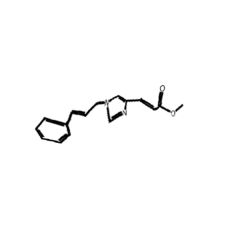 COC(=O)C=Cc1cn(CC=Cc2ccccc2)cn1